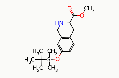 COC(=O)C1Cc2ccc(O[Si](C)(C)C(C)(C)C)cc2CN1